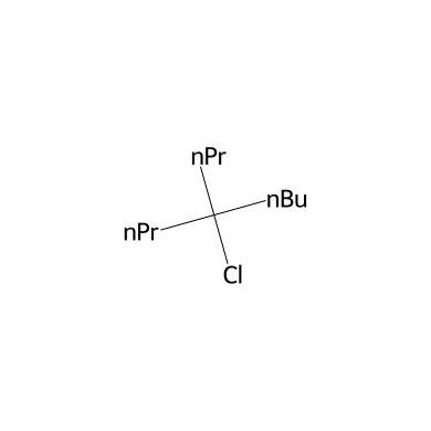 CCCCC(Cl)(CCC)CCC